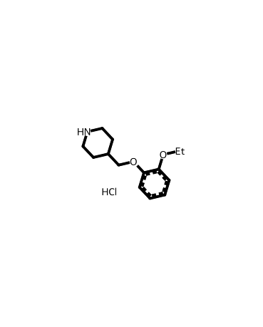 CCOc1ccccc1OCC1CCNCC1.Cl